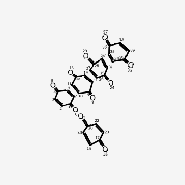 O=C1C=CC(=O)C=C1.O=C1C=CC(=O)C=C1.O=C1C=CC(=O)C=C1.O=C1C=CC(=O)C=C1.O=C1C=CC(=O)C=C1